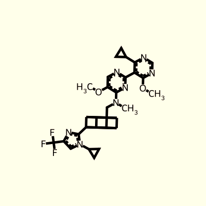 COc1cnc(-c2c(OC)ncnc2C2CC2)nc1N(C)CC12C3C4C1C1C2C3C41c1nc(C(F)(F)F)cn1C1CC1